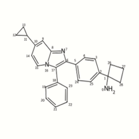 NC1(c2ccc(-c3nc4cc(C5CC5)ccn4c3-c3ccccc3)cc2)CCC1